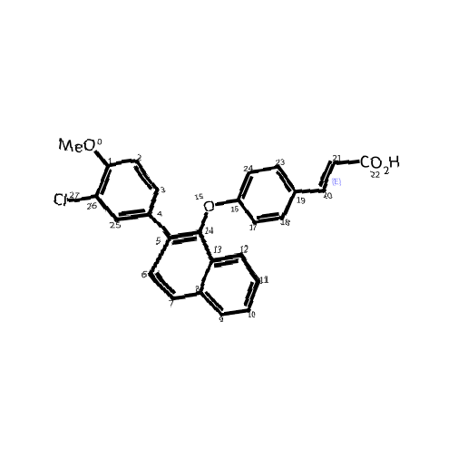 COc1ccc(-c2ccc3ccccc3c2Oc2ccc(/C=C/C(=O)O)cc2)cc1Cl